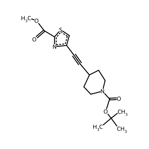 COC(=O)c1nc(C#CC2CCN(C(=O)OC(C)(C)C)CC2)cs1